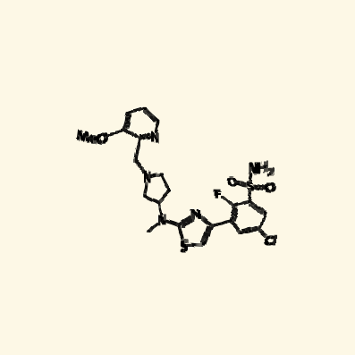 COc1cccnc1CN1CCC(N(C)c2nc(-c3cc(Cl)cc(S(N)(=O)=O)c3F)cs2)C1